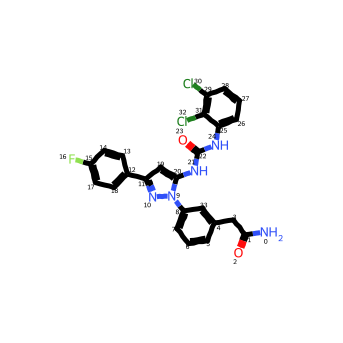 NC(=O)Cc1cccc(-n2nc(-c3ccc(F)cc3)cc2NC(=O)Nc2cccc(Cl)c2Cl)c1